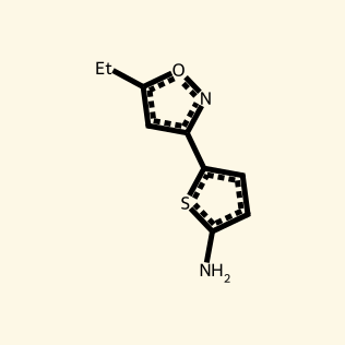 CCc1cc(-c2ccc(N)s2)no1